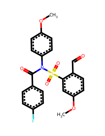 COc1ccc(N(C(=O)c2ccc(F)cc2)S(=O)(=O)c2cc(OC)ccc2C=O)cc1